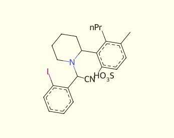 CCCc1c(C)ccc(S(=O)(=O)O)c1C1CCCCN1C(C#N)c1ccccc1I